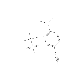 CN(C)c1ccc([N+]#N)cn1.O=S(=O)([O-])C(F)(F)F